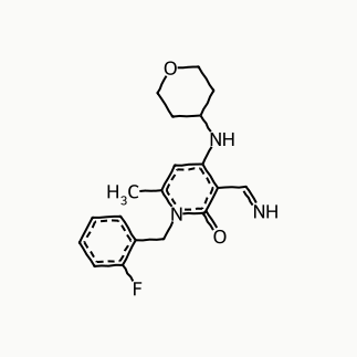 Cc1cc(NC2CCOCC2)c(C=N)c(=O)n1Cc1ccccc1F